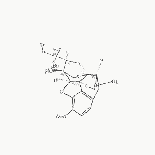 CCO[C@@](C)([C@H]1C[C@@]23CC[C@]1(O)[C@@H]1Oc4c(OC)ccc5c4[C@@]12CCN(C)[C@@H]3C5)C(C)(C)C